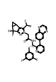 O=C(Cn1nc2c(c1C(F)F)C1CC1C2(F)F)N[C@@H](Cc1cc(F)cc(F)c1)c1ncccc1-c1ccc2nccnc2c1